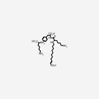 CCCCCCCC/C=C/CCCCCCCCNC(CCCCN)C(=O)NC(Cc1ccccc1)C(=O)O.NCCCCC(N)C(=O)O